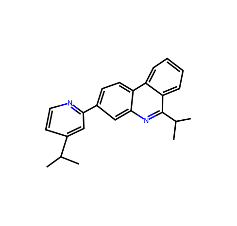 CC(C)c1ccnc(-c2ccc3c(c2)nc(C(C)C)c2ccccc23)c1